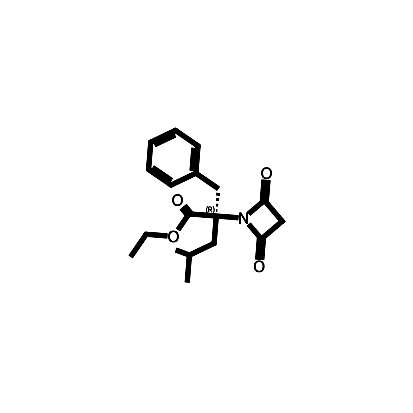 CCOC(=O)[C@](Cc1ccccc1)(CC(C)C)N1C(=O)CC1=O